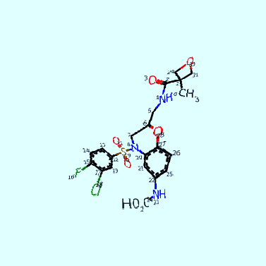 CC1(C(=O)NCC2CN(S(=O)(=O)c3ccc(F)c(Cl)c3)c3cc(NC(=O)O)ccc3O2)COC1